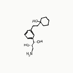 NC[C@H](O)[C@@H](O)c1cccc(CCC2(O)CCCCC2)c1